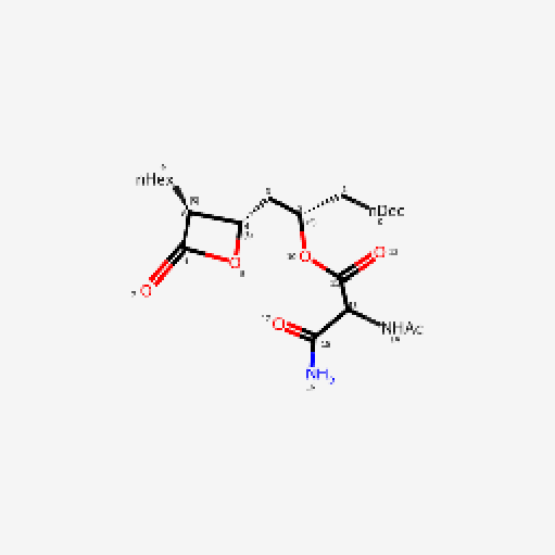 CCCCCCCCCCC[C@@H](C[C@@H]1OC(=O)[C@H]1CCCCCC)OC(=O)C(NC(C)=O)C(N)=O